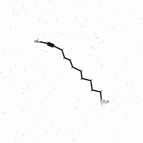 CCCCC#CCCCCCCCCCC(=O)O